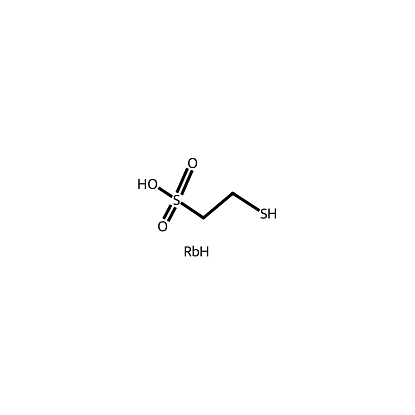 O=S(=O)(O)CCS.[RbH]